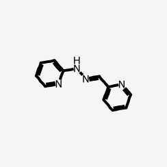 C(=NNc1ccccn1)c1ccccn1